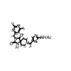 CC(=O)Nc1ncc([C@@H](C)N2CCC3(CC2)NC(=O)N(Cc2cc(C)nc(C)n2)C3=O)s1